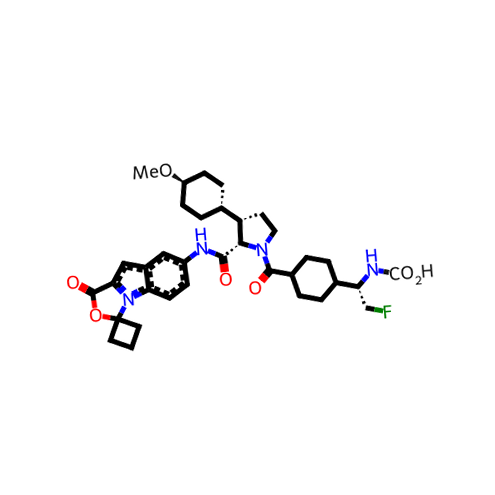 CO[C@H]1CC[C@H]([C@@H]2CCN(C(=O)C3CCC([C@@H](CF)NC(=O)O)CC3)[C@@H]2C(=O)Nc2ccc3c(c2)cc2n3C3(CCC3)OC2=O)CC1